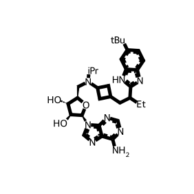 CCC(CC1CC(N(C[C@H]2O[C@@H](n3cnc4c(N)ncnc43)[C@@H](O)[C@@H]2O)C(C)C)C1)c1nc2ccc(C(C)(C)C)cc2[nH]1